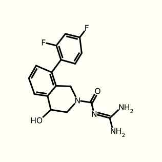 NC(N)=NC(=O)N1Cc2c(-c3ccc(F)cc3F)cccc2C(O)C1